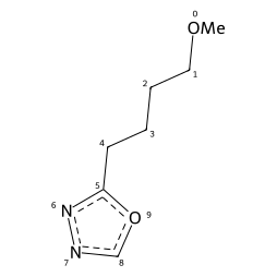 [CH2]OCCCCc1nnco1